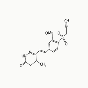 C#CCS(=O)(=O)c1ccc(C=CC2=NNC(=O)CC2C)cc1OC